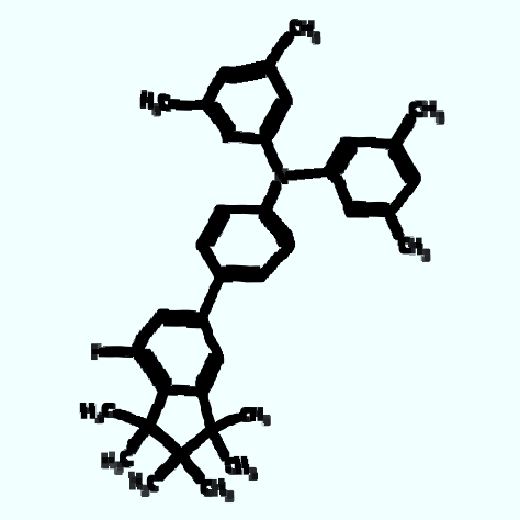 Cc1cc(C)cc(N(c2ccc(-c3cc(F)c4c(c3)C(C)(C)C(C)(C)C4(C)C)cc2)c2cc(C)cc(C)c2)c1